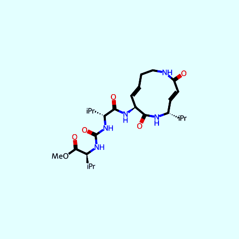 COC(=O)[C@@H](NC(=O)N[C@@H](C(=O)N[C@H]1/C=C/CCNC(=O)/C=C/[C@H](C(C)C)NC1=O)C(C)C)C(C)C